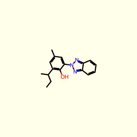 CCC(C)c1cc(C)cc(-n2nc3ccccc3n2)c1O